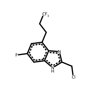 Fc1cc(CCC(F)(F)F)c2nc(CCl)[nH]c2c1